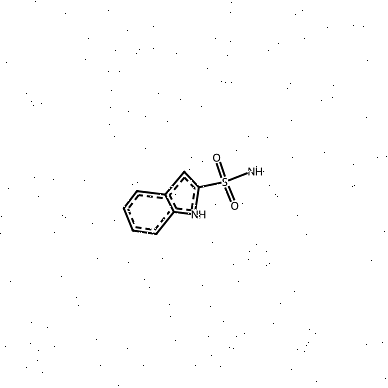 [NH]S(=O)(=O)c1cc2ccccc2[nH]1